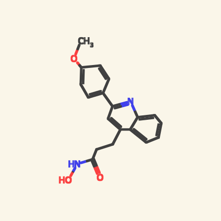 COc1ccc(-c2cc(CCC(=O)NO)c3ccccc3n2)cc1